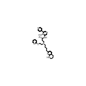 CC(=O)[C@H](CCN(CCCCc1ccc2c(n1)NCCC2)CCOc1ccccn1)Nc1cncc(-c2ccncc2)[n+]1O